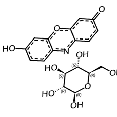 O=c1ccc2nc3ccc(O)cc3oc-2c1.OC[C@H]1O[C@@H](O)[C@H](O)[C@@H](O)[C@@H]1O